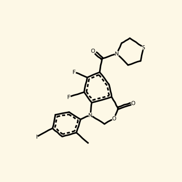 Cc1cc(I)ccc1N1COC(=O)c2cc(C(=O)N3CCSCC3)c(F)c(F)c21